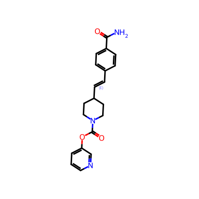 NC(=O)c1ccc(/C=C/C2CCN(C(=O)Oc3cccnc3)CC2)cc1